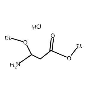 CCOC(=O)CC(N)OCC.Cl